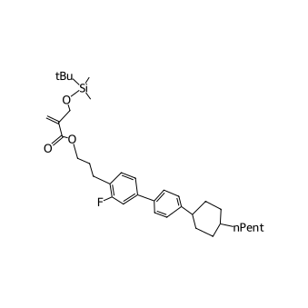 C=C(CO[Si](C)(C)C(C)(C)C)C(=O)OCCCc1ccc(-c2ccc(C3CCC(CCCCC)CC3)cc2)cc1F